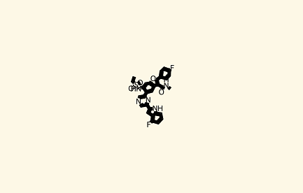 CCS(=O)(=O)Nc1cc2oc(-c3ccc(F)cc3)c(C(=O)NC)c2cc1-c1cncc(-c2cc3c(F)cccc3[nH]2)n1